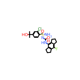 CC(C)(O)c1ccc([S@](N)(=O)=NC(O)Nc2c3c(c(F)c4c2CCC4)CCC3)c(Cl)c1